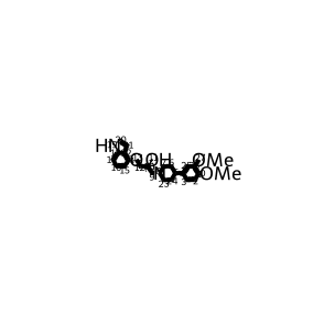 COc1ccc(C2CCN(C[C@H](O)COc3cccc4[nH]ccc34)CC2)cc1OC